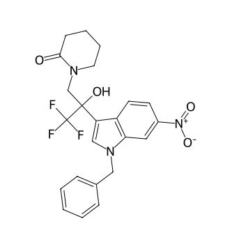 O=C1CCCCN1CC(O)(c1cn(Cc2ccccc2)c2cc([N+](=O)[O-])ccc12)C(F)(F)F